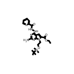 CCOC(=O)c1cc2c(NNC(=O)c3ccccn3)nc(N)nc2n1CCO[Si](C)(C)C(C)(C)C